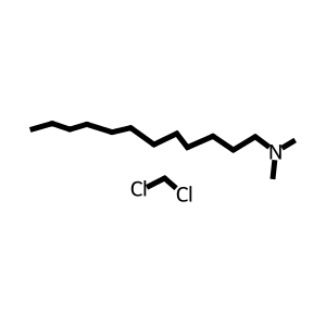 CCCCCCCCCCCCN(C)C.ClCCl